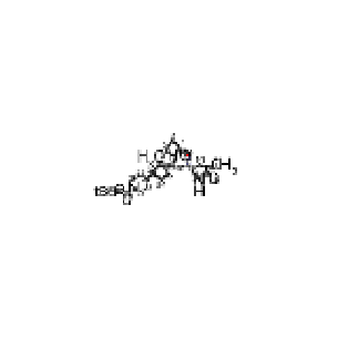 Cc1ccccc1[C@H](C/C(=N\O)c1c[nH]c(=O)c(C)c1)c1ccc(C2CCN(C(=O)OC(C)(C)C)CC2)cc1